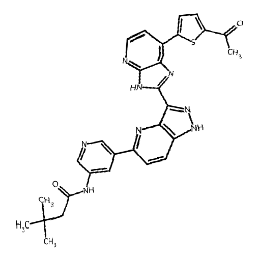 CC(=O)c1ccc(-c2ccnc3[nH]c(-c4n[nH]c5ccc(-c6cncc(NC(=O)CC(C)(C)C)c6)nc45)nc23)s1